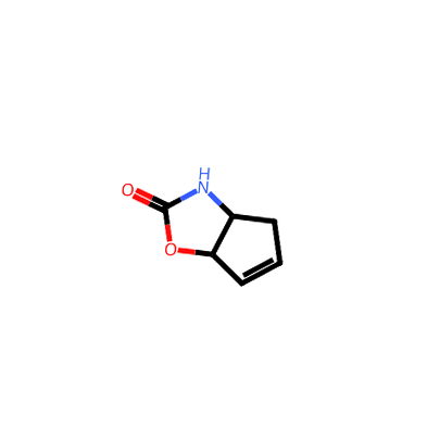 O=C1NC2CC=CC2O1